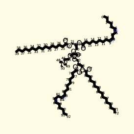 CCCCC/C=C\C/C=C\CCCCCCCC(=O)O[C@H](COC(=O)CCCCCCCCCCCCCCC)COP(=O)(OCC[N+](C)(C)C)OC[C@@H](COC(=O)CCCCCCCCCCCCCCC)OC(=O)CCCCCCC/C=C\C/C=C\CCCCC